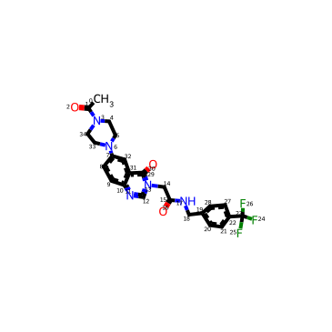 CC(=O)N1CCN(c2ccc3ncn(CC(=O)NCc4ccc(C(F)(F)F)cc4)c(=O)c3c2)CC1